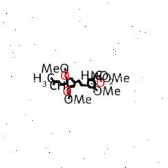 COCOc1cc(/C=C/c2cc(OC)c(OC(C)OC)c([N+](=O)[O-])c2)cc(OCOC)c1CC=C(C)C